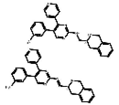 Cc1cccc(-c2cnc(N=C[C@@H]3Cc4ccccc4CN3)nc2-c2ccncc2)c1.FC(F)(F)c1cccc(-c2cnc(NC[C@@H]3Cc4ccccc4CN3)nc2-c2ccncc2)c1